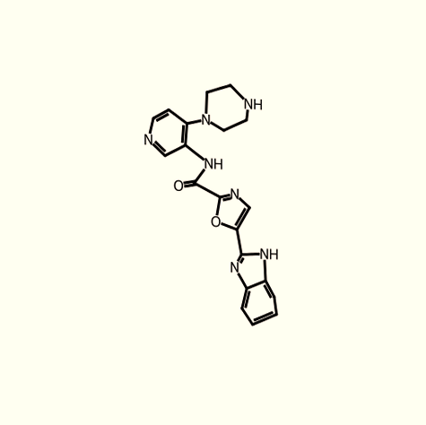 O=C(Nc1cnccc1N1CCNCC1)c1ncc(-c2nc3ccccc3[nH]2)o1